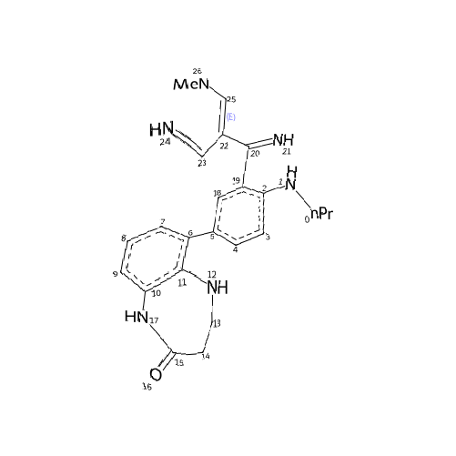 CCCNc1ccc(-c2cccc3c2NCCC(=O)N3)cc1C(=N)/C(C=N)=C/NC